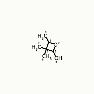 CC1OC(O)C1(C)C